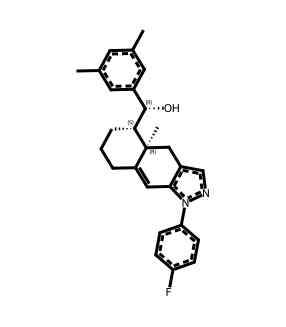 Cc1cc(C)cc([C@H](O)[C@H]2CCCC3=Cc4c(cnn4-c4ccc(F)cc4)C[C@@]32C)c1